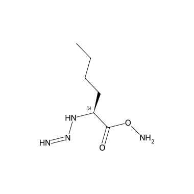 CCCC[C@H](NN=N)C(=O)ON